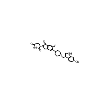 N#Cc1ccc2c(CN3CCC(c4cc5c(cc4F)C(=O)N(C4CCC(=O)NC4=O)C5)CC3)c[nH]c2c1